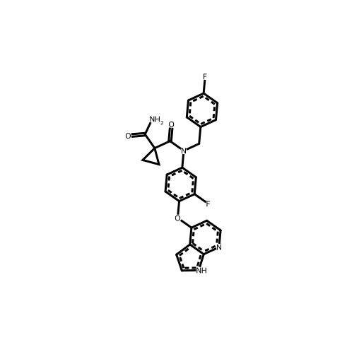 NC(=O)C1(C(=O)N(Cc2ccc(F)cc2)c2ccc(Oc3ccnc4[nH]ccc34)c(F)c2)CC1